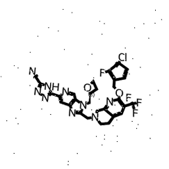 N#Cc1nnc(-c2cc3nc(CN4CCc5cc(C(F)(F)F)c(OCc6ccc(Cl)cc6F)nc5C4)n(C[C@@H]4CCO4)c3cn2)[nH]1